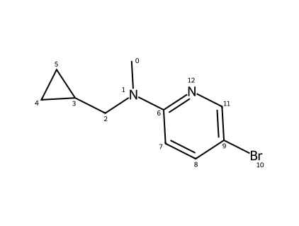 CN(CC1CC1)c1ccc(Br)cn1